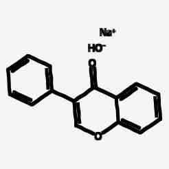 O=c1c(-c2ccccc2)coc2ccccc12.[Na+].[OH-]